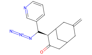 C=C1CC2CC(=O)[C@@H](C(N=[N+]=[N-])c3cccnc3)C(C1)C2